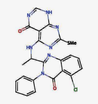 CSc1nc(NC(C)c2nc3cccc(Cl)c3c(=O)n2-c2ccccc2)c2c(=O)nc[nH]c2n1